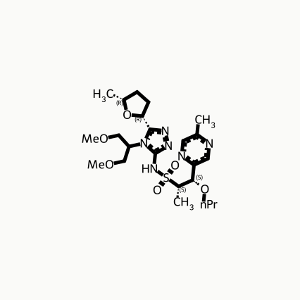 CCCO[C@@H](c1cnc(C)cn1)[C@H](C)S(=O)(=O)Nc1nnc([C@H]2CC[C@@H](C)O2)n1C(COC)COC